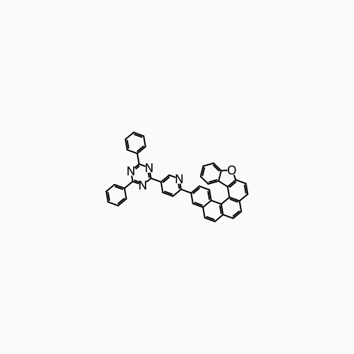 c1ccc(-c2nc(-c3ccccc3)nc(-c3ccc(-c4ccc5c(ccc6ccc7ccc8oc9ccccc9c8c7c65)c4)nc3)n2)cc1